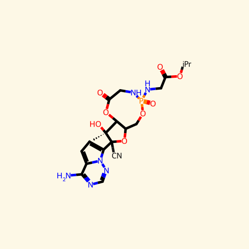 CC(C)OC(=O)CNP1(=O)NCC(=O)OC2C(CO1)OC(C#N)(c1ccc3c(N)ncnn13)[C@@]2(C)O